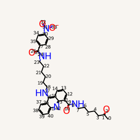 CC(=O)CCCCCNC(=O)c1cccc2c(NCCCCCCNC(=O)c3ccc([N+](=O)[O-])cc3)c3ccccc3nc12